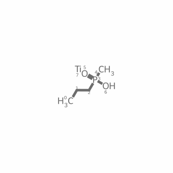 CCCP(C)(=O)O.[Ti]